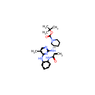 C=CC(=O)Nc1ccccc1Nc1nc(N[C@H]2CCCN(C(=O)OC(C)(C)C)C2)ncc1C